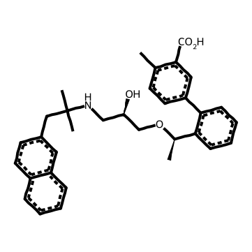 Cc1ccc(-c2ccccc2[C@@H](C)OC[C@H](O)CNC(C)(C)Cc2ccc3ccccc3c2)cc1C(=O)O